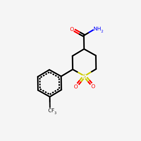 NC(=O)C1CCS(=O)(=O)C(c2cccc(C(F)(F)F)c2)C1